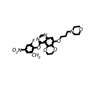 Cc1cc([N+](=O)[O-])cc(F)c1Oc1ncnc2cc(OCCCN3CCOCC3)c3c(c12)OCCO3